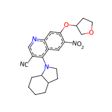 N#Cc1cnc2cc(OC3CCOC3)c([N+](=O)[O-])cc2c1N1CCC2CCCCC21